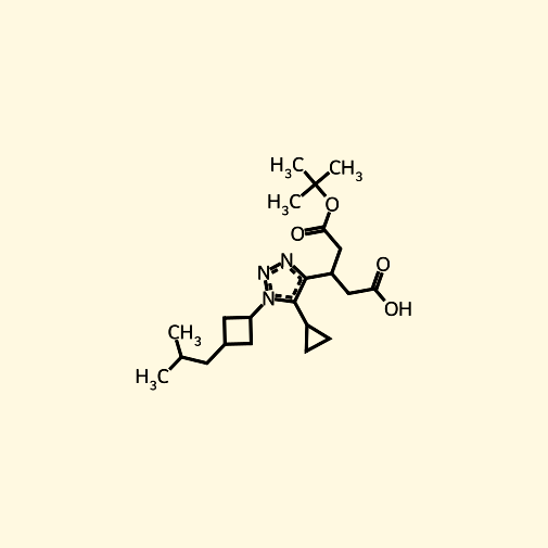 CC(C)CC1CC(n2nnc(C(CC(=O)O)CC(=O)OC(C)(C)C)c2C2CC2)C1